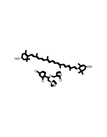 CC1=C[C@H](O)CC(C)(C)[C@H]1/C=C/C(C)=C/C=C/C(C)=C/C=C/C=C(C)/C=C/C=C(C)/C=C/C1=C(C)C[C@@H](O)CC1(C)C.Clc1ccc(C(Cn2ccnc2)OCc2ccsc2Cl)c(Cl)c1